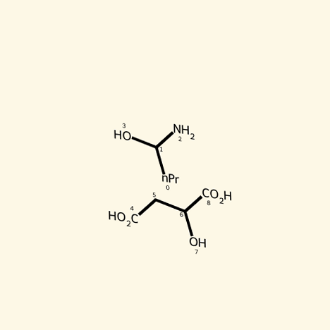 CCCC(N)O.O=C(O)CC(O)C(=O)O